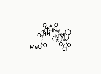 COC(=O)CCC(=O)N[C@@H](C)C(=O)N[C@H](C)C(=O)N[C@@H](C)C(=O)N1CCC[C@H]1C(=O)N[C@@H](Cc1ccccc1)C(=O)CCl